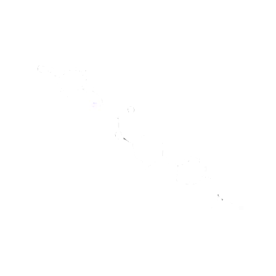 CN(C)Cc1ccc([C@H]2CC[C@H](OC(=O)/C=C/c3ccc(Cl)cc3)CC2)cc1